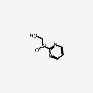 [O-][S+](CO)c1ncccn1